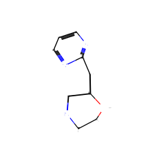 c1cnc(CC2CNCCO2)nc1